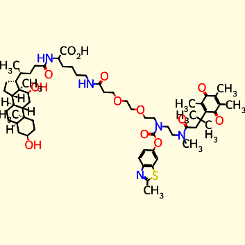 CC1=C(C)C(=O)C(C(C)(C)CC(=O)N(C)CCN(CCOCCOCCC(=O)NCCCCC(NC(=O)CC[C@@H](C)[C@H]2CC[C@H]3[C@@H]4CC[C@@H]5C[C@H](O)CC[C@]5(C)[C@H]4C[C@H](O)[C@]23C)C(=O)O)C(=O)Oc2ccc3nc(C)sc3c2)=C(C)C1=O